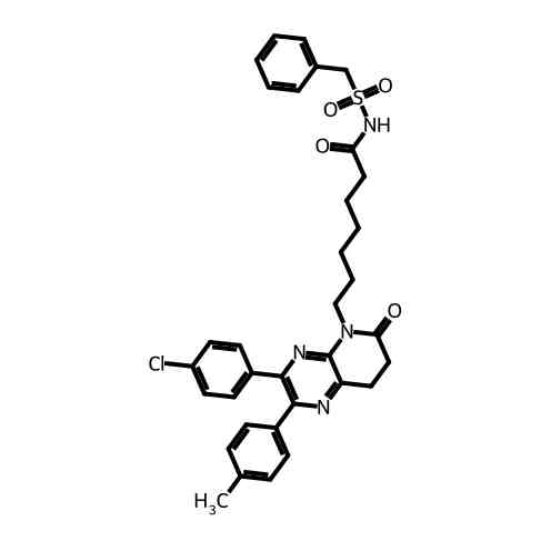 Cc1ccc(-c2nc3c(nc2-c2ccc(Cl)cc2)N(CCCCCCC(=O)NS(=O)(=O)Cc2ccccc2)C(=O)CC3)cc1